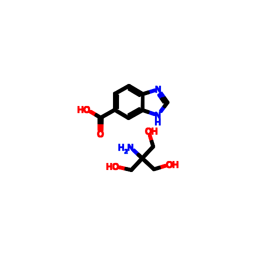 NC(CO)(CO)CO.O=C(O)c1ccc2nc[nH]c2c1